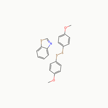 COc1ccc(SSc2ccc(OC)cc2)cc1.c1ccc2scnc2c1